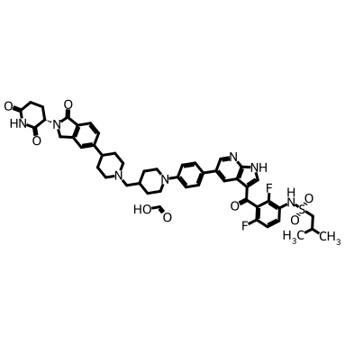 CC(C)CS(=O)(=O)Nc1ccc(F)c(C(=O)c2c[nH]c3ncc(-c4ccc(N5CCC(CN6CCC(c7ccc8c(c7)CN([C@H]7CCC(=O)NC7=O)C8=O)CC6)CC5)cc4)cc23)c1F.O=CO